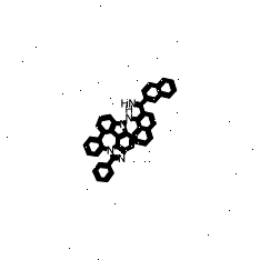 N=C(c1ccc2ccccc2c1)c1ccc2ccccc2c1Nn1c2cccc3c4ccccc4n4c(-c5ccccc5)nc5ccc1c(c32)c54